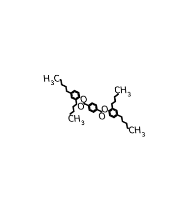 CCCCCc1ccc(OC(=O)c2ccc(C(=O)Oc3ccc(CCCCC)cc3CCCCC)cc2)c(CCCCC)c1